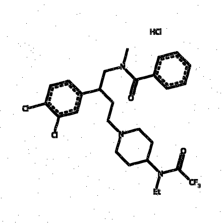 CCN(C(=O)C(F)(F)F)C1CCN(CCC(CN(C)C(=O)c2ccccc2)c2ccc(Cl)c(Cl)c2)CC1.Cl